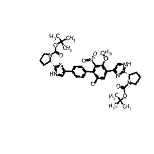 COc1c(-c2c[nH]c([C@@H]3CCCN3C(=O)OC(C)(C)C)n2)cc(Cl)c(-c2ccc(-c3c[nH]c([C@@H]4CCCN4C(=O)OC(C)(C)C)n3)cc2)c1[N+](=O)[O-]